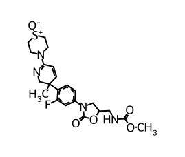 COC(=O)NCC1CN(c2ccc(C3(C)C=CC(N4CC[S+]([O-])CC4)=NC3)c(F)c2)C(=O)O1